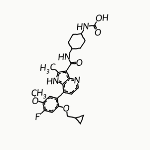 COc1cc(-c2ccnc3c(C(=O)NC4CCC(NC(=O)O)CC4)c(C)[nH]c23)c(OCC2CC2)cc1F